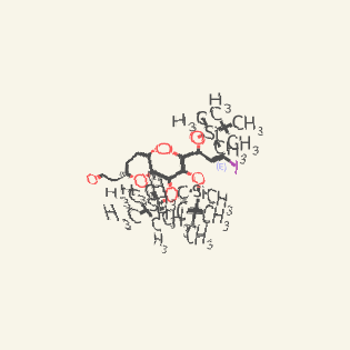 CC(C)(C)[Si](C)(C)OC(/C=C/I)C1OC2CC[C@H](CC=O)O[C@@H]2C(O[Si](C)(C)C(C)(C)C)C1O[Si](C)(C)C(C)(C)C